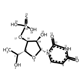 CC(O)[C@H]1O[C@@H](n2ccc(=O)[nH]c2=O)[C@H](O)[C@@H]1OP(O)(O)=S